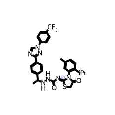 Cc1ccc(C(C)C)c(N2C(=O)CS/C2=N\C(=O)NNC(C)c2ccc(-c3ncn(-c4ccc(C(F)(F)F)cc4)n3)cc2)c1